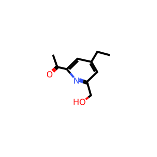 CCc1cc(CO)nc(C(C)=O)c1